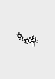 CC(=O)N1CC(=O)N/C(=C/c2ccc(OCc3ccccc3)cn2)C1=O